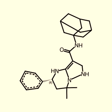 CC1(C)C[C@H](c2ccccc2)NC2=C(C(=O)NC34CC5CC(CC(C5)C3)C4)CNN21